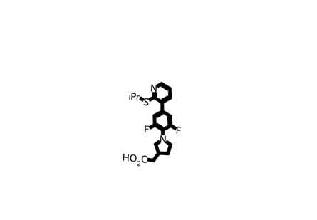 CC(C)Sc1ncccc1-c1cc(F)c(N2CCC(CC(=O)O)C2)c(F)c1